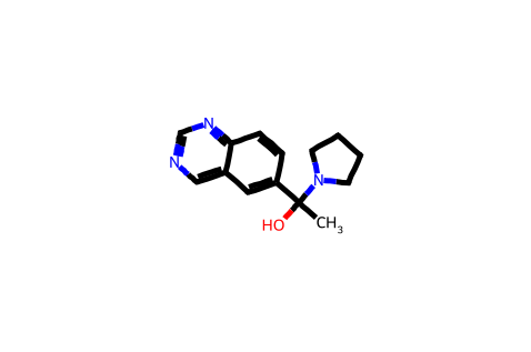 CC(O)(c1ccc2ncncc2c1)N1CCCC1